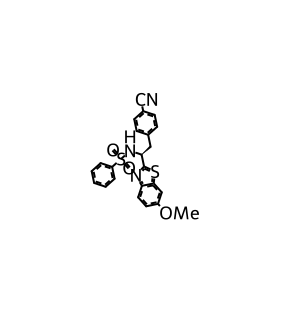 COc1ccc2nc([C@H](Cc3ccc(C#N)cc3)NS(=O)(=O)c3ccccc3)sc2c1